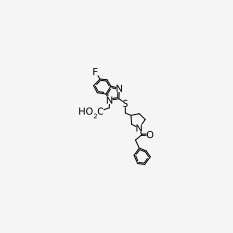 O=C(O)Cn1c(SCC2CCN(C(=O)Cc3ccccc3)C2)nc2cc(F)ccc21